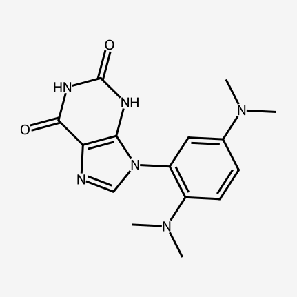 CN(C)c1ccc(N(C)C)c(-n2cnc3c(=O)[nH]c(=O)[nH]c32)c1